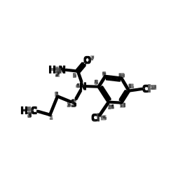 CCCSN(C(N)=O)c1ccc(Cl)cc1Cl